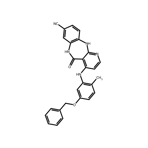 Cc1ccc(OCc2ccccc2)cc1Nc1ccnc2c1C(=O)Nc1cc(C#N)ccc1N2